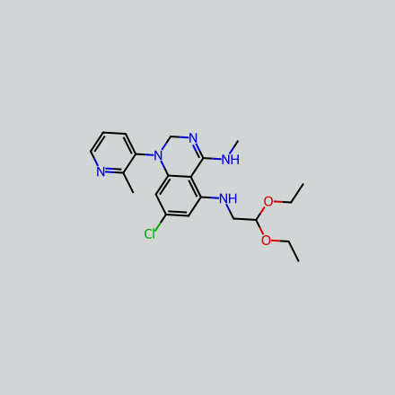 CCOC(CNc1cc(Cl)cc2c1C(NC)=NCN2c1cccnc1C)OCC